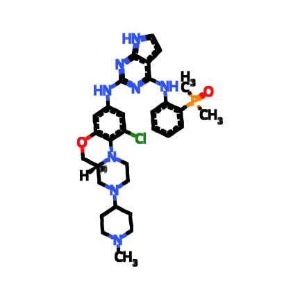 CN1CCC(N2CCN3c4c(Cl)cc(Nc5nc(Nc6ccccc6P(C)(C)=O)c6cc[nH]c6n5)cc4OC[C@H]3C2)CC1